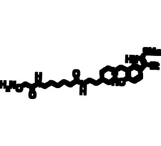 CCc1c(SC)[nH]c2c(CN3CCC(CCNC(=O)CCCCCNC(=O)CON)CC3)c(O)ccc12